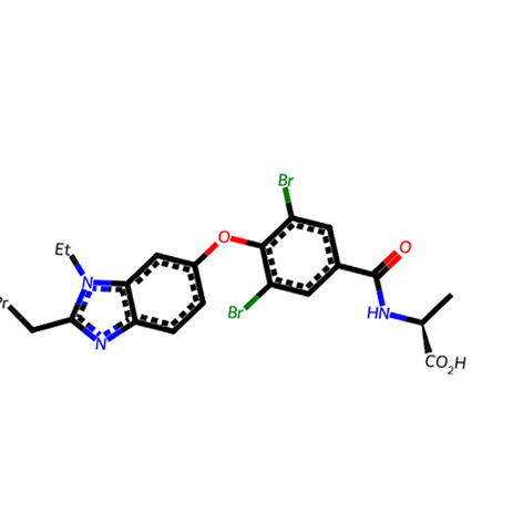 CCn1c(CC(C)C)nc2ccc(Oc3c(Br)cc(C(=O)N[C@@H](C)C(=O)O)cc3Br)cc21